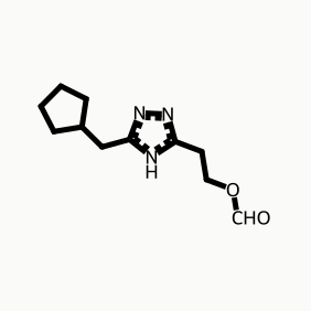 O=COCCc1nnc(CC2CCCC2)[nH]1